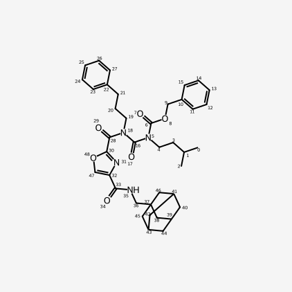 CC(C)CCN(C(=O)OCc1ccccc1)C(=O)N(CCCc1ccccc1)C(=O)c1nc(C(=O)NCC23CC4CC(CC(C4)C2)C3)co1